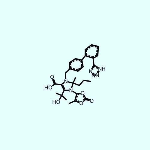 CCCC1(C)N(Cc2ccc(-c3ccccc3-c3nnn[nH]3)cc2)C(C(=O)O)=C(C(C)(C)O)N1c1oc(=O)oc1C